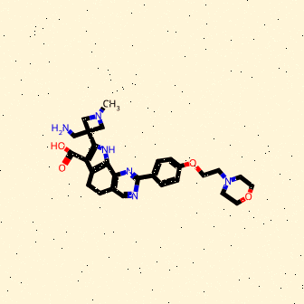 CN1CC(CN)(c2[nH]c3c(c2C(=O)O)CCc2cnc(-c4ccc(OCCN5CCOCC5)cc4)nc2-3)C1